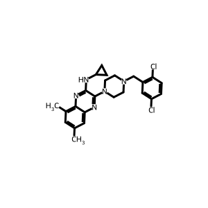 Cc1cc(C)c2nc(NC3CC3)c(N3CCN(Cc4cc(Cl)ccc4Cl)CC3)nc2c1